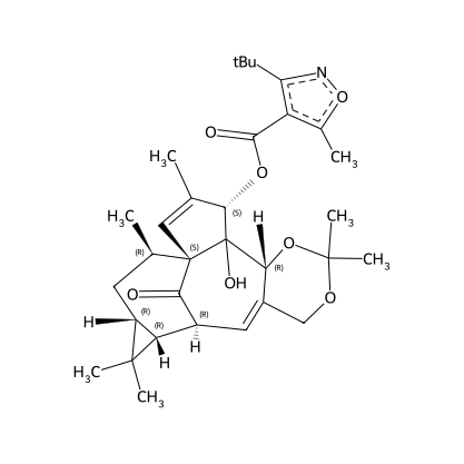 CC1=C[C@]23C(=O)[C@@H](C=C4COC(C)(C)O[C@H]4C2(O)[C@H]1OC(=O)c1c(C(C)(C)C)noc1C)[C@H]1[C@@H](C[C@H]3C)C1(C)C